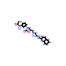 O=C1CSc2ccc(N3CC(CNCCNCc4ccc5ccccc5n4)OC3=O)cc2N1